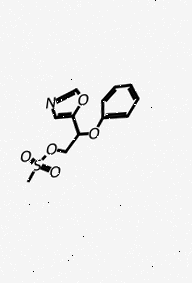 CS(=O)(=O)OCC(Oc1ccccc1)c1cnco1